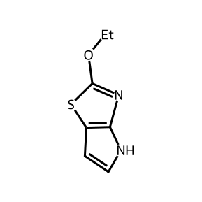 CCOc1nc2[nH]ccc2s1